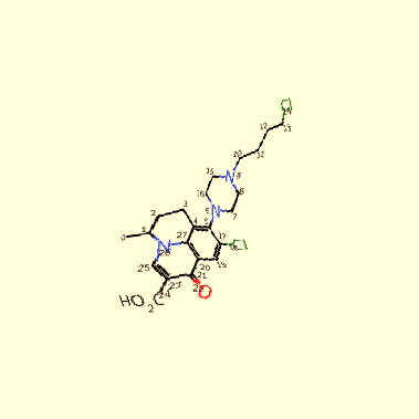 CC1CCc2c(N3CCN(CCCCCl)CC3)c(Cl)cc3c(=O)c(C(=O)O)cn1c23